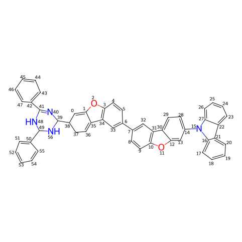 C1=c2oc3ccc(-c4ccc5oc6cc(-n7c8ccccc8c8ccccc87)ccc6c5c4)cc3c2=CCC1C1N=C(c2ccccc2)NC(c2ccccc2)N1